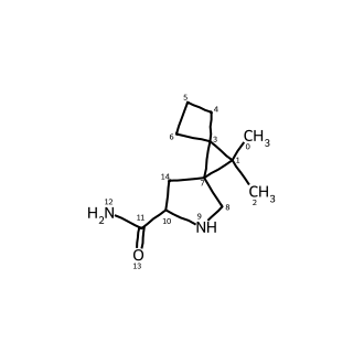 CC1(C)C2(CCC2)C12CNC(C(N)=O)C2